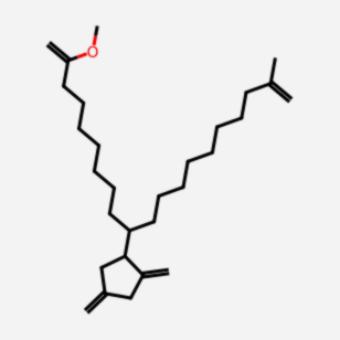 C=C(C)CCCCCCCCC(CCCCCCCC(=C)OC)C1CC(=C)CC1=C